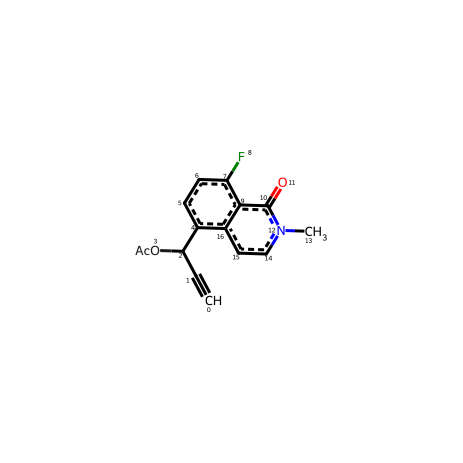 C#CC(OC(C)=O)c1ccc(F)c2c(=O)n(C)ccc12